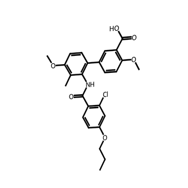 CCCOc1ccc(C(=O)Nc2c(-c3ccc(OC)c(C(=O)O)c3)ccc(OC)c2C)c(Cl)c1